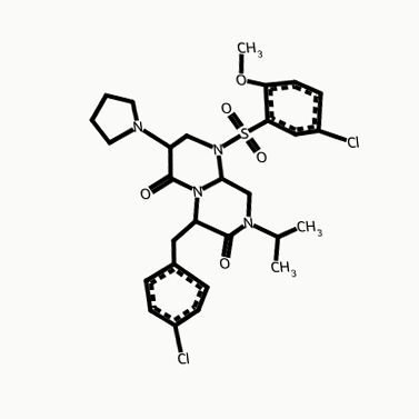 COc1ccc(Cl)cc1S(=O)(=O)N1CC(N2CCCC2)C(=O)N2C(Cc3ccc(Cl)cc3)C(=O)N(C(C)C)CC21